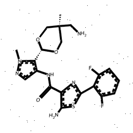 Cn1ncc(NC(=O)c2nc(-c3c(F)cccc3F)sc2N)c1[C@H]1OC[C@](C)(CN)CO1